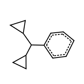 c1ccc(C(C2CC2)C2CC2)cc1